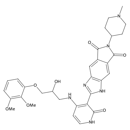 COc1cccc(OCC(O)CNc2cc[nH]c(=O)c2-c2nc3cc4c(cc3[nH]2)C(=O)N(C2CCN(C)CC2)C4=O)c1OC